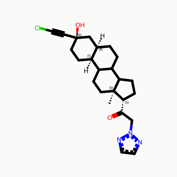 C[C@]12CCC3C(CC[C@@H]4C[C@@](O)(C#CCl)CC[C@H]34)C1CC[C@@H]2C(=O)Cn1nccn1